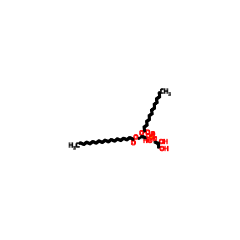 CCCCCCCCCCCCCCCCCCC(=O)OC[C@H](COP(=O)(O)OC[C@@H](O)CO)OC(=O)CCCCCCCCCCCCCC